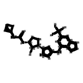 O=C(NC12CC(C1)C2)O[C@@H]1CO[C@H](c2cc(Nc3nc(C(F)(F)F)cc4nccn34)n[nH]2)[C@H]1F